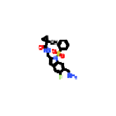 CC1(C(=O)NCc2cc3cc(F)c(CN)cc3n2S(=O)(=O)c2ccccc2)CC1